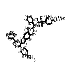 COc1ccc(C(F)(F)C(=O)NC(C(=O)Nc2ccc(CC(NC(=O)c3cnns3)C(=O)N3CCN(C)CC3)cc2F)C2CCCCC2)cn1